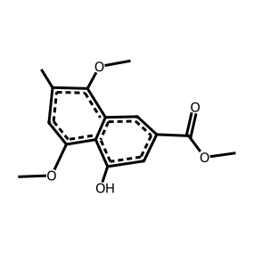 COC(=O)c1cc(O)c2c(OC)cc(C)c(OC)c2c1